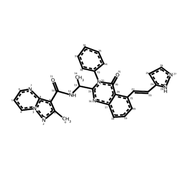 Cc1nn2cccnc2c1C(=O)NC(C)c1nc2cccc(/C=C/c3ccn[nH]3)c2c(=O)n1-c1ccccc1